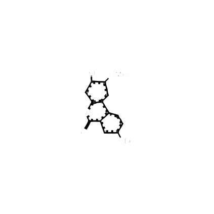 COc1cc2c(cc1C)oc(=O)c1cc(C(C)(C)C)ccc12